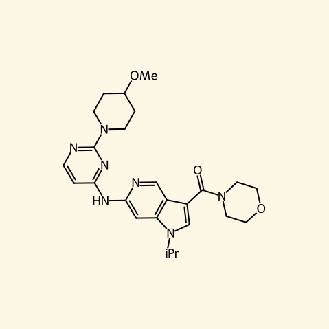 COC1CCN(c2nccc(Nc3cc4c(cn3)c(C(=O)N3CCOCC3)cn4C(C)C)n2)CC1